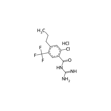 CCCc1cc(Cl)c(C(=O)NC(=N)N)cc1C(F)(F)F.Cl